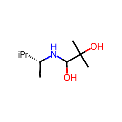 CC(C)[C@@H](C)NC(O)C(C)(C)O